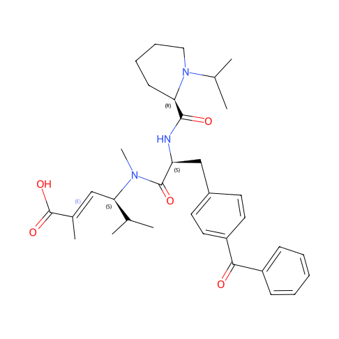 C/C(=C\[C@H](C(C)C)N(C)C(=O)[C@H](Cc1ccc(C(=O)c2ccccc2)cc1)NC(=O)[C@H]1CCCCN1C(C)C)C(=O)O